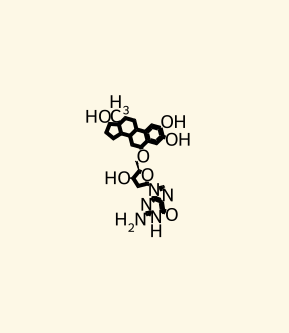 C[C@]12CCC3c4cc(O)c(O)cc4C(OC[C@H]4O[C@@H](n5cnc6c(=O)[nH]c(N)nc65)C[C@@H]4O)CC3C1CC[C@@H]2O